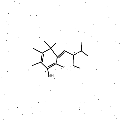 CCC(C=C1C(C)=C(N)C(C)=C(C)C1(C)C)C(C)C